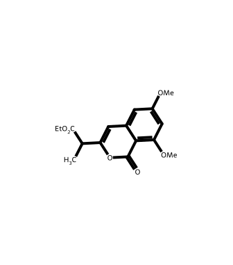 CCOC(=O)C(C)c1cc2cc(OC)cc(OC)c2c(=O)o1